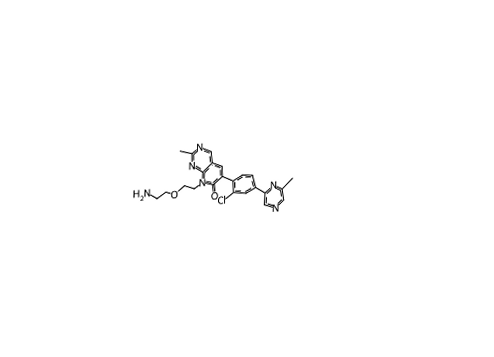 Cc1cncc(-c2ccc(-c3cc4cnc(C)nc4n(CCOCCN)c3=O)c(Cl)c2)n1